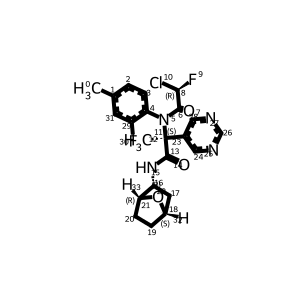 Cc1ccc(N(C(=O)[C@H](F)Cl)[C@](C)(C(=O)N[C@@H]2C[C@@H]3CC[C@H]2O3)c2cncnc2)c(F)c1